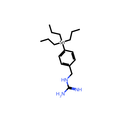 CC[CH2][Sn]([CH2]CC)([CH2]CC)[c]1ccc(CNC(=N)N)cc1